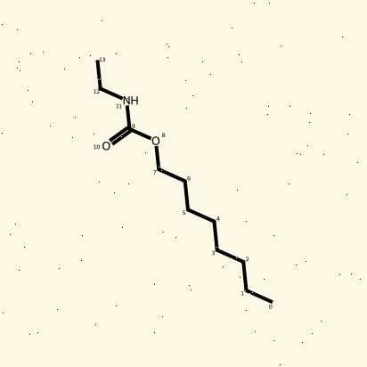 CCCCCCCCOC(=O)NCC